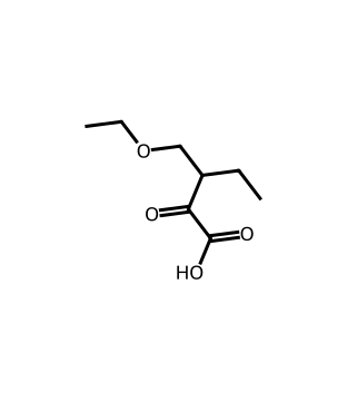 CCOCC(CC)C(=O)C(=O)O